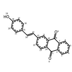 O=C1c2ccccc2C(=O)c2cc(/C=C/c3ccc(O)cc3)ccc21